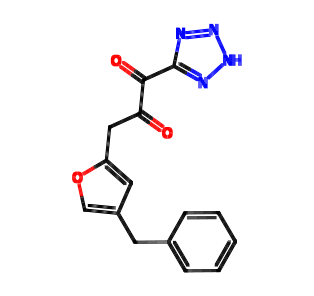 O=C(Cc1cc(Cc2ccccc2)co1)C(=O)c1nn[nH]n1